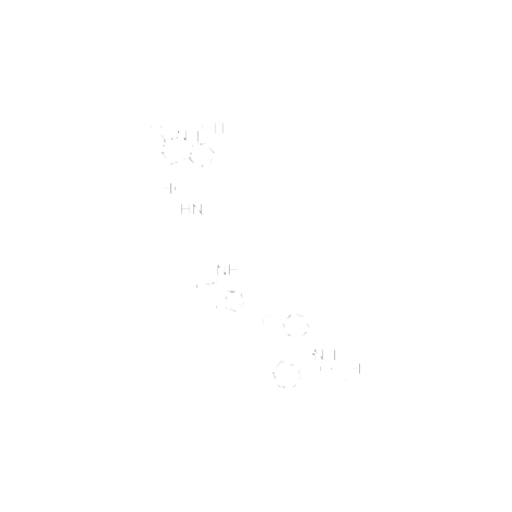 O=C(O)N[C@@H](c1ccccc1)c1cccc(OCc2coc(C(=O)NCCCCNCC(O)c3ccc(O)c4[nH]c(=O)ccc34)c2)c1